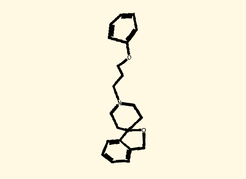 c1ccc(OCCCN2CCC3(CC2)OCc2ccccc23)cc1